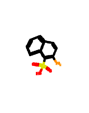 O=S(=O)(O)c1c(P)ccc2ccccc12